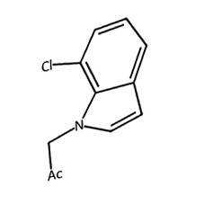 CC(=O)Cn1ccc2cccc(Cl)c21